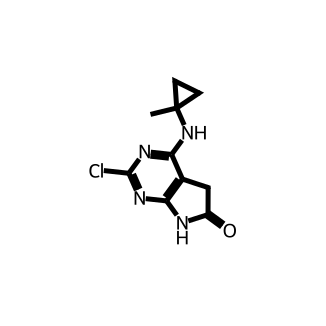 CC1(Nc2nc(Cl)nc3c2CC(=O)N3)CC1